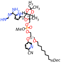 CCCCCCCCCCCCCCCCCCOC[C@@H](COP(=O)(OC)OC[C@@]1(C)O[C@@H](c2ccc(/C(N)=N\C=N)[nH]2)[C@@H]2OC(C)(C)O[C@@H]21)Oc1ccc(C#N)nc1